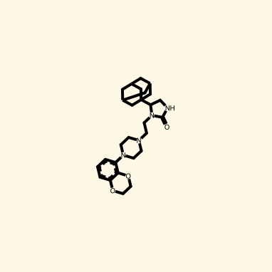 O=C1NCC(C23CC4CC(CC(C4)C2)C3)N1CCN1CCN(c2cccc3c2OCCO3)CC1